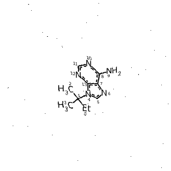 CCC(C)(C)n1cnc2c(N)ncnc21